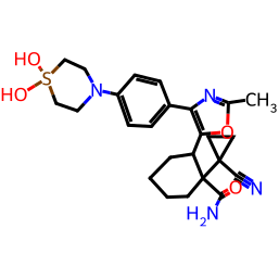 Cc1nc(-c2ccc(N3CCS(O)(O)CC3)cc2)c(C2CCCCC2(C(N)=O)C2(C#N)CC2)o1